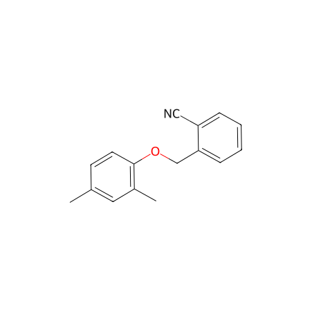 Cc1ccc(OCc2ccccc2C#N)c(C)c1